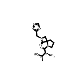 C[C@@H](O)[C@H](N)C(=O)N1CCCC12CN(Cc1nnco1)C2=O